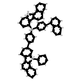 c1ccc(-n2c3cc(-c4ccc(N(c5ccc(-c6cccc7ccccc67)cc5)c5cccc6oc7c8ccccc8ccc7c56)cc4)ccc3c3ccc4ccccc4c32)cc1